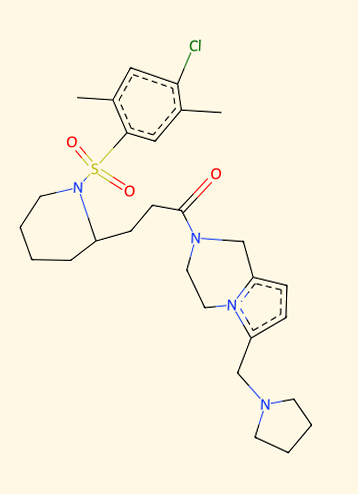 Cc1cc(S(=O)(=O)N2CCCCC2CCC(=O)N2CCn3c(CN4CCCC4)ccc3C2)c(C)cc1Cl